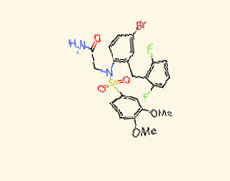 COc1ccc(S(=O)(=O)N(CC(N)=O)c2ccc(Br)cc2Cc2c(F)cccc2F)cc1OC